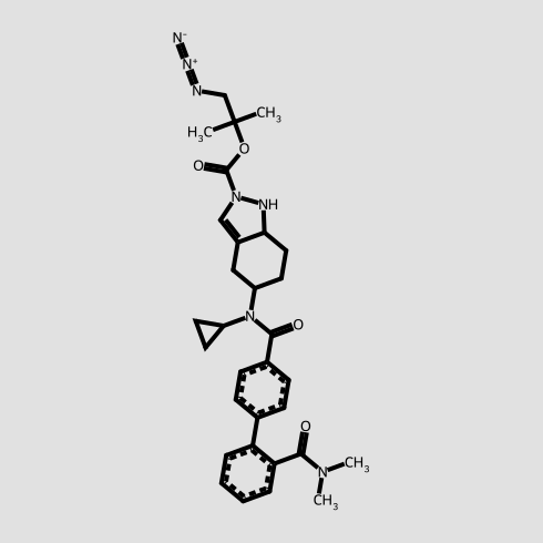 CN(C)C(=O)c1ccccc1-c1ccc(C(=O)N(C2CC2)C2CCC3NN(C(=O)OC(C)(C)CN=[N+]=[N-])C=C3C2)cc1